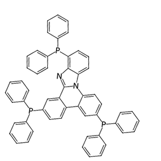 c1ccc(P(c2ccccc2)c2ccc3c(c2)c2ccc(P(c4ccccc4)c4ccccc4)cc2c2nc4c(P(c5ccccc5)c5ccccc5)cccc4n32)cc1